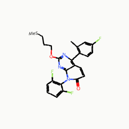 CSCCCOc1nc(-c2ccc(F)cc2C)c2ccc(=O)n(-c3c(F)cccc3F)c2n1